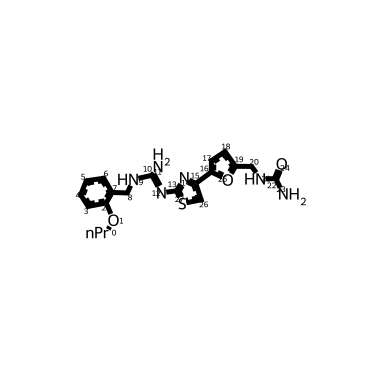 CCCOc1ccccc1CNC(N)=Nc1nc(-c2ccc(CNC(N)=O)o2)cs1